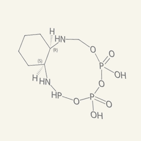 O=P1(O)OCN[C@@H]2CCCC[C@@H]2NPOP(=O)(O)O1